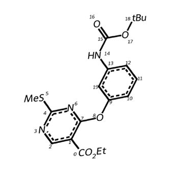 CCOC(=O)c1cnc(SC)nc1Oc1cccc(NC(=O)OC(C)(C)C)c1